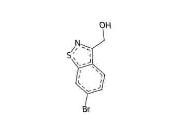 OCc1nsc2cc(Br)ccc12